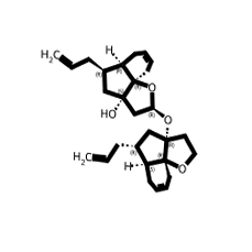 C=CC[C@@H]1C[C@]2(O)C[C@H](O[C@]34CCO[C@@]35CC=CC[C@H]5[C@H](CC=C)C4)O[C@@]23CC=CC[C@H]13